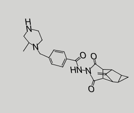 C=C1C2C3CC3C1C1C(=O)N(NC(=O)c3ccc(CN4CCNCC4C)cc3)C(=O)C21